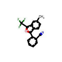 Cc1ccc2c(-c3ccccc3C#N)oc(C(F)(F)F)c2c1